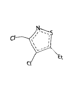 CCc1snc(Cl)c1Cl